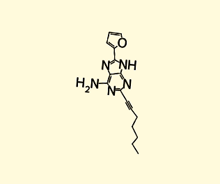 CCCCCC#Cc1nc(N)c2nc(-c3ccco3)[nH]c2n1